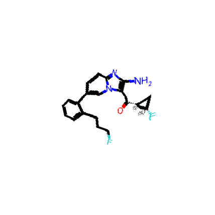 Nc1nc2ccc(-c3ccccc3CCCF)cn2c1C(=O)[C@@H]1C[C@@H]1F